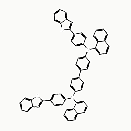 c1ccc2sc(-c3ccc(N(c4ccc(-c5ccc(N(c6ccc(-c7cc8ccccc8s7)cc6)c6cccc7ccccc67)cc5)cc4)c4cccc5ccccc45)cc3)cc2c1